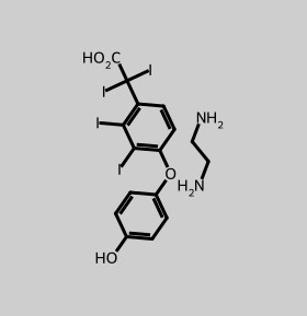 NCCN.O=C(O)C(I)(I)c1ccc(Oc2ccc(O)cc2)c(I)c1I